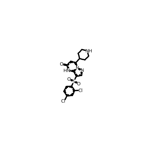 O=c1cc(C2CCNCC2)n2ncc(S(=O)(=O)c3ccc(Cl)cc3Cl)c2[nH]1